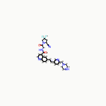 N#CC1CC(F)(F)CN1C(=O)CNC(=O)c1ccnc2ccc(/C=C/c3ccc(CN4CCNCC4)nc3)cc12